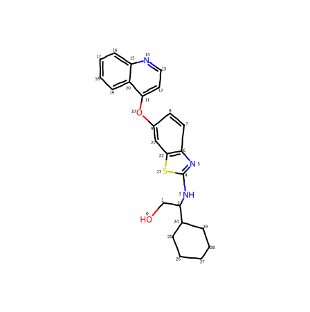 OCC(Nc1nc2ccc(Oc3ccnc4ccccc34)cc2s1)C1CCCCC1